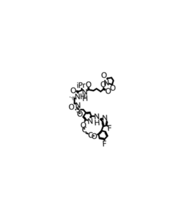 CC(C)C(NC(=O)CCCC(=O)ON1C(=O)CCC1=O)C(=O)N[C@@H](C)C(=O)N=S(C)(=O)Cc1cc2nc(c1)OCCCOc1cc(F)ccc1-c1cc(ncc1F)N2